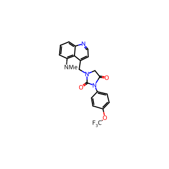 CNc1cccc2nccc(CN3CC(=O)N(c4ccc(OC(F)(F)F)cc4)C3=O)c12